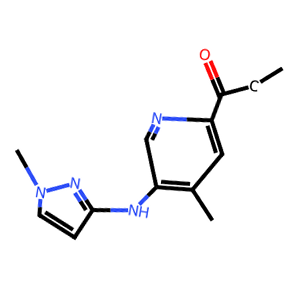 CCC(=O)c1cc(C)c(Nc2ccn(C)n2)cn1